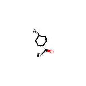 CC(=O)[C@H]1CC[C@H](C(=O)C(C)C)CC1